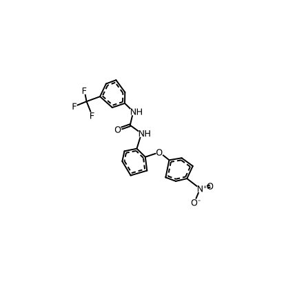 O=C(Nc1cccc(C(F)(F)F)c1)Nc1ccccc1Oc1ccc([N+](=O)[O-])cc1